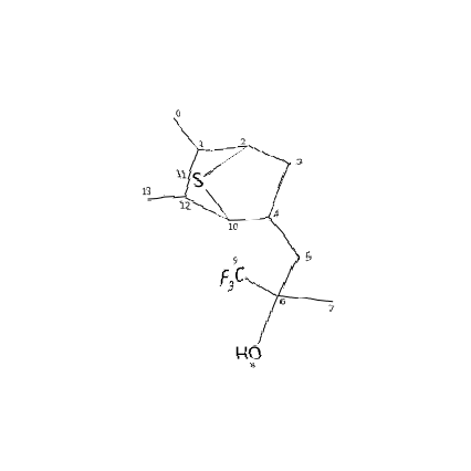 CC1C2CC(CC(C)(O)C(F)(F)F)C(S2)C1C